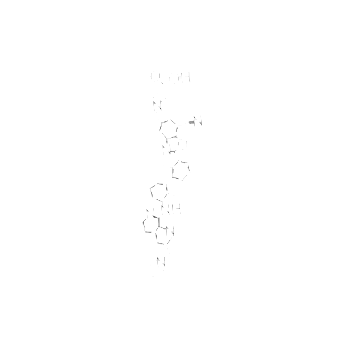 Cc1c(Nc2nccc3cc(CN4CCCC4)cnc23)cccc1-c1cccc(-c2nc3cc(CN4CC(C(=O)O)C4)cc(C#N)c3o2)c1C